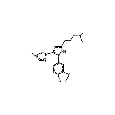 Cc1csc(-c2nc(CCCN(C)C)[nH]c2-c2ccc3c(c2)OCO3)n1